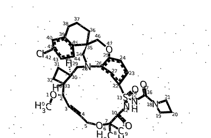 CO[C@H]1/C=C/COC(C)(C)C(=O)N=[S@@](=O)(NC(=O)N2CCC2)c2ccc3c(c2)N(C[C@@H]2CC[C@H]21)C[C@@]1(CCCc2cc(Cl)ccc21)CO3